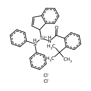 CC(C)(C)c1ccccc1C(=O)[NH][Ti+2]([CH]1C=Cc2ccccc21)[SiH](c1ccccc1)c1ccccc1.[Cl-].[Cl-]